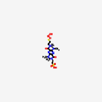 CN(C)c1nc(C(=O)NCCS(=O)(=O)O)c(N(C)C)nc1C(=O)NCCSOOO